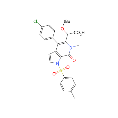 Cc1ccc(S(=O)(=O)n2ccc3c(-c4ccc(Cl)cc4)c(C(OC(C)(C)C)C(=O)O)n(C)c(=O)c32)cc1